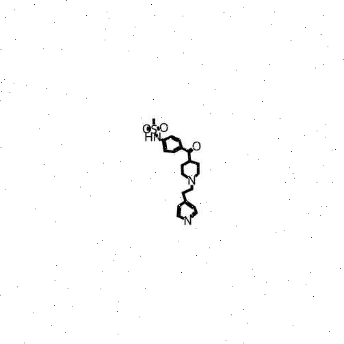 CS(=O)(=O)Nc1ccc(C(=O)C2CCN(CCc3ccncc3)CC2)cc1